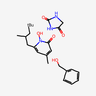 Cc1cc(CC(C)CC(C)(C)C)n(O)c(=O)c1.O=C1CNC(=O)N1.OCc1ccccc1